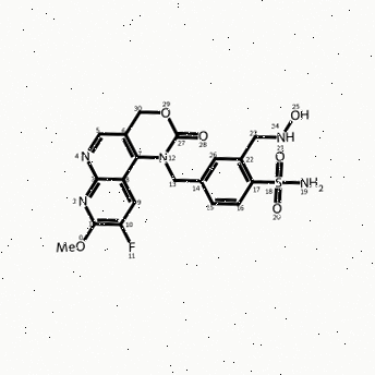 COc1nc2ncc3c(c2cc1F)N(Cc1ccc(S(N)(=O)=O)c(CNO)c1)C(=O)OC3